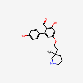 CC1(CCOc2cc(O)c(C=O)c(-c3ccc(O)cc3)c2)CCCNC1